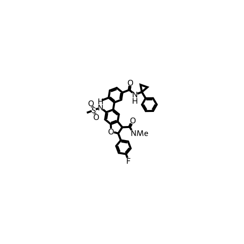 CNC(=O)C1c2cc(-c3cc(C(=O)NC4(c5ccccc5)CC4)ccc3C)c(NS(C)(=O)=O)cc2OC1c1ccc(F)cc1